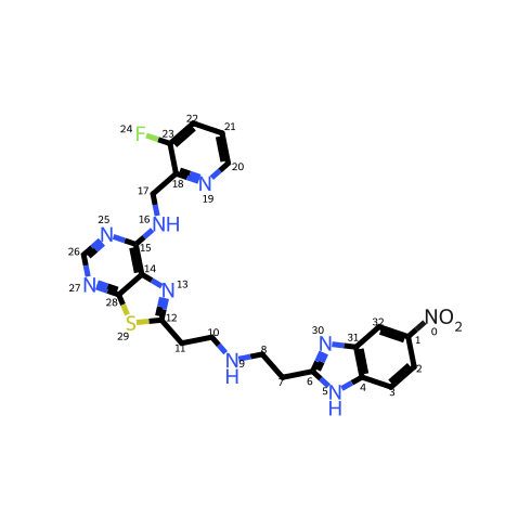 O=[N+]([O-])c1ccc2[nH]c(CCNCCc3nc4c(NCc5ncccc5F)ncnc4s3)nc2c1